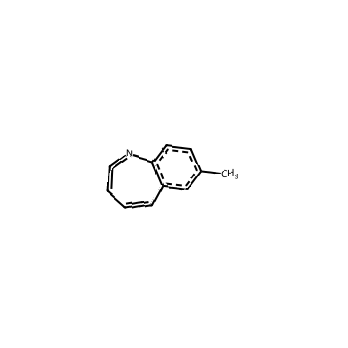 Cc1ccc2c(c1)C=CC=C=N2